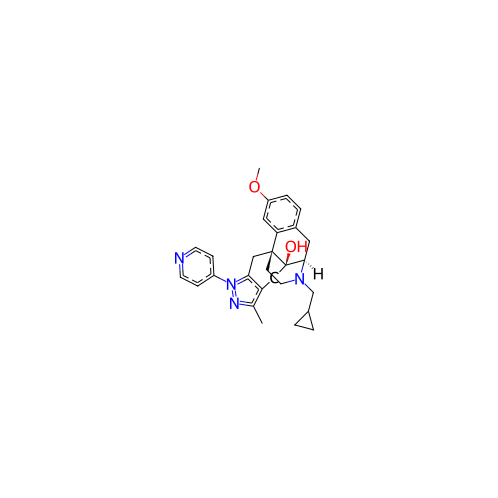 COc1ccc2c(c1)[C@]13CCN(CC4CC4)[C@H](C2)[C@]1(O)Cc1c(C)nn(-c2ccncc2)c1C3